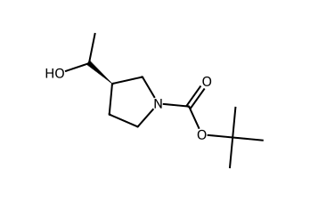 CC(O)[C@@H]1CCN(C(=O)OC(C)(C)C)C1